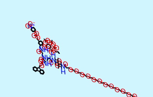 C=CCOC(=O)[C@H]1O[C@@H](Oc2ccc(COC(=O)Oc3ccc([N+](=O)[O-])cc3)cc2CNC(=O)CCNC(=O)[C@H](CCCC(=O)N[C@H]2CO[C@H]3[C@@H]2OC[C@@H]3NC(=O)CCOCCOCCOCCOCCOCCOCCOCCOCCOCCOCCOCCOC)NC(=O)OCC2c3ccccc3-c3ccccc32)[C@H](OC(C)=O)[C@@H](OC(C)=O)[C@@H]1OC(C)=O